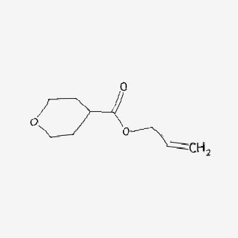 C=CCOC(=O)C1CCOCC1